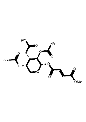 CCCC(=O)O[C@@H]1[C@@H](OC(=O)CCC)[C@H](OC(=O)/C=C/C(=O)OC)OC[C@@H]1OC(=O)CCC